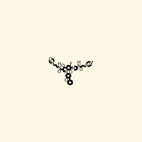 CN1CCN(CCC(=O)N[C@@H]2CCN(c3c(F)cc4c(=O)c(C(=O)NCCCN5CCOCC5)cn5c4c3Oc3cc4c(cc3-5)oc3ccccc34)C2)CC1